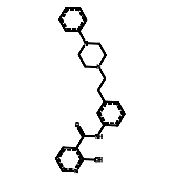 O=C(Nc1cccc(CCN2CCN(c3ccccc3)CC2)c1)c1cccnc1O